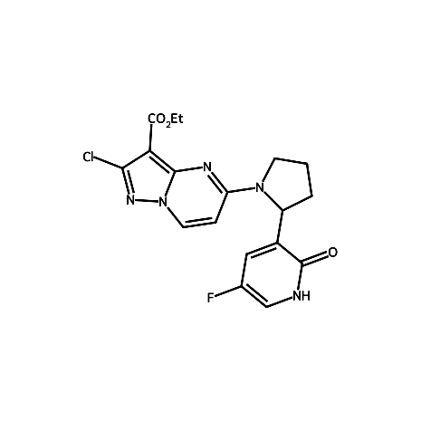 CCOC(=O)c1c(Cl)nn2ccc(N3CCCC3c3cc(F)c[nH]c3=O)nc12